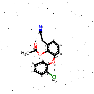 CC(=O)Oc1c(CC#N)cccc1Oc1ccccc1Cl